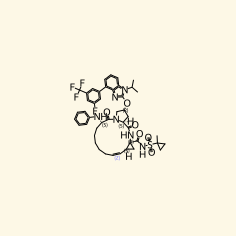 CC(C)n1c(O[C@@H]2C[C@H]3C(=O)N[C@]4(C(=O)NS(=O)(=O)C5(C)CC5)C[C@H]4/C=C\CCCCC[C@H](Nc4ccccc4)C(=O)N3C2)nc2c(-c3cc(F)cc(C(F)(F)F)c3)cccc21